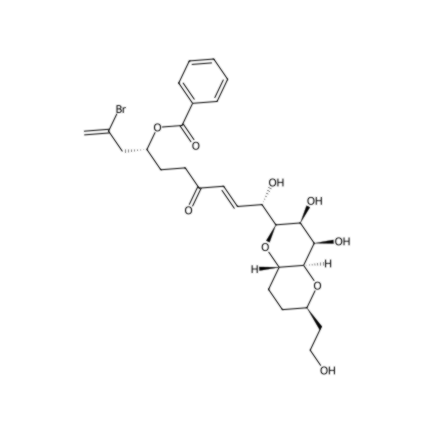 C=C(Br)C[C@@H](CCC(=O)/C=C/[C@H](O)[C@@H]1O[C@H]2CC[C@H](CCO)O[C@@H]2[C@H](O)[C@@H]1O)OC(=O)c1ccccc1